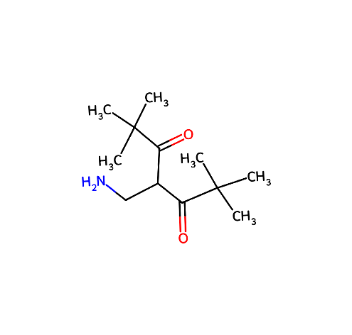 CC(C)(C)C(=O)C(CN)C(=O)C(C)(C)C